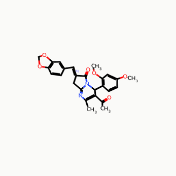 COc1ccc(C2C(C(C)=O)=C(C)N=C3C/C(=C\c4ccc5c(c4)OCO5)C(=O)N32)c(OC)c1